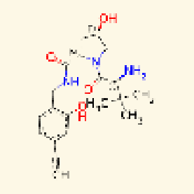 C#Cc1ccc(CNC(=O)[C@@H]2C[C@@H](O)CN2C(=O)[C@@H](N)C(C)(C)C)c(O)c1